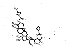 COC(C[C@@H](C)[C@H]1C[C@H](O)[C@@]2(C)C3CC[C@H]4C(C)(C)[C@@H](OC(=O)N5CC(O)C5)CC[C@@]45CC35CC[C@]12C)[C@H](OC(=O)N1CCC1)C(C)C